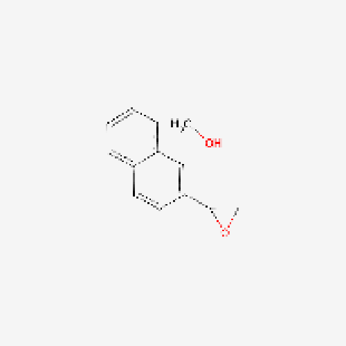 CO.c1ccc2cc(C3CO3)ccc2c1